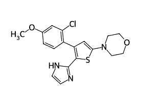 COc1ccc(-c2cc(N3CCOCC3)sc2-c2ncc[nH]2)c(Cl)c1